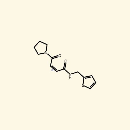 O=C(/C=C\C(=O)N1CCCC1)NCc1cccs1